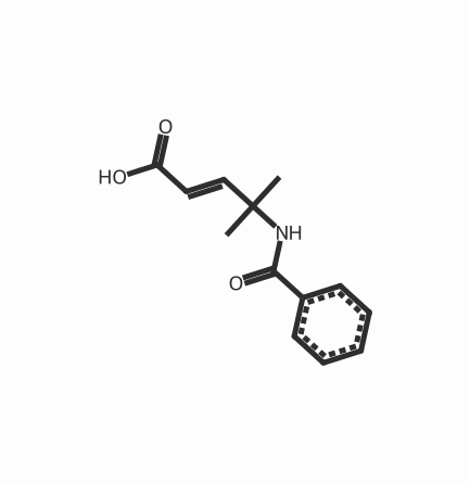 CC(C)(C=CC(=O)O)NC(=O)c1ccccc1